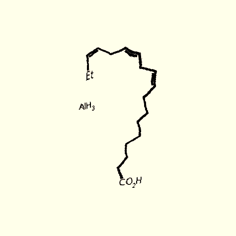 CC/C=C\C/C=C\C/C=C\CCCCCCCC(=O)O.[AlH3]